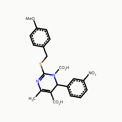 COc1ccc(CSC2=NC(C)=C(C(=O)O)C(c3cccc([N+](=O)[O-])c3)N2C(=O)O)cc1